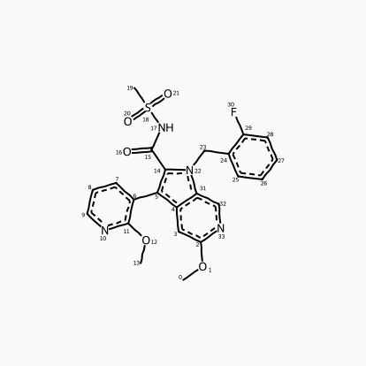 COc1cc2c(-c3cccnc3OC)c(C(=O)NS(C)(=O)=O)n(Cc3ccccc3F)c2cn1